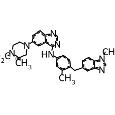 Cc1cc(Nc2ncnc3ccc(N4CCN(C(=O)O)[C@H](C)C4)cc23)ccc1Cc1ccc2c(c1)ncn2C